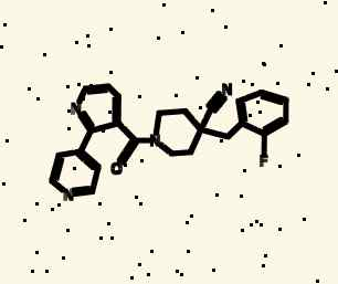 N#CC1(Cc2ccccc2F)CCN(C(=O)c2cccnc2-c2ccncc2)CC1